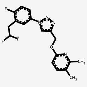 Cc1ccc(OCc2cn(-c3ccc(F)c(CC(F)F)c3)nn2)nc1C